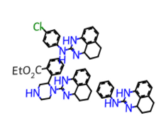 CCOC(=O)c1ccccc1C1CNCCN1C1=NC2CCCc3cccc(c32)N1.Clc1ccc(NC2=NC3CCCc4cccc(c43)N2)cc1.c1ccc(NC2=NC3CCCc4cccc(c43)N2)cc1